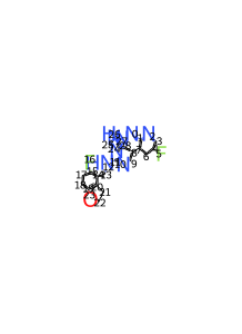 Nc1ncc(F)cc1-c1cnc(NCc2c(F)ccc3c2CCO3)n2cnnc12